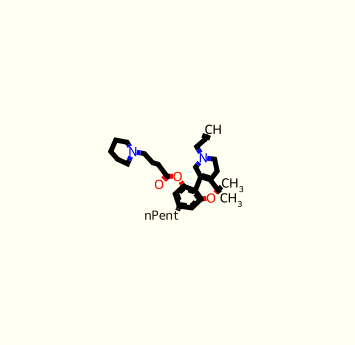 C#CCN1CCC2=C(C1)c1c(OC(=O)CCCN3CCCCC3)cc(CCCCC)cc1OC2(C)C